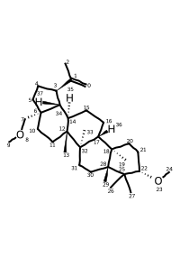 C=C(C)[C@@H]1CC[C@]2(COC)CC[C@]3(C)[C@H](CC[C@@H]4[C@@]5(C)CC[C@H](OC)C(C)(C)[C@]5(C)CC[C@]43C)[C@@H]12